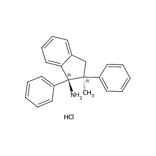 C[C@@]1(c2ccccc2)Cc2ccccc2[C@@]1(N)c1ccccc1.Cl